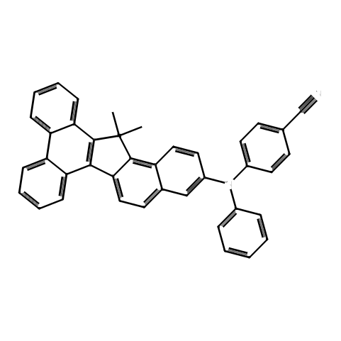 CC1(C)c2c(ccc3cc(N(c4ccccc4)c4ccc(C#N)cc4)ccc23)-c2c1c1ccccc1c1ccccc21